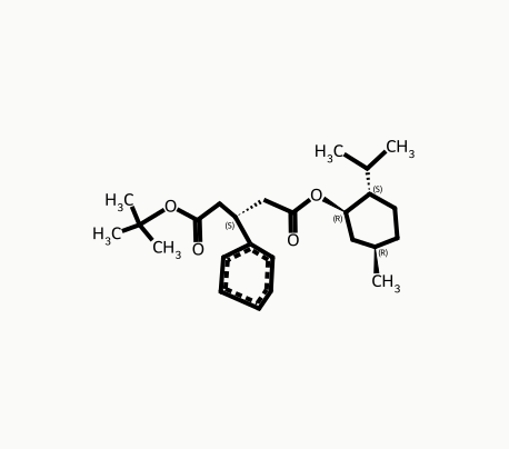 CC(C)[C@@H]1CC[C@@H](C)C[C@H]1OC(=O)C[C@@H](CC(=O)OC(C)(C)C)c1ccccc1